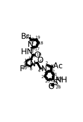 CC(=O)c1cn(CC(=O)N2C[C@H](F)CC2C(=O)Nc2cccc(Br)n2)c2ccc(S(C)(=N)=O)cc12